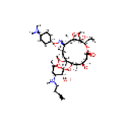 C#CCCN(C)[C@H]1C[C@@H](C)O[C@@H](O[C@@H]2[C@@H](C)C(=O)[C@@H](C)C(=O)O[C@H](CC)[C@](O)(CC)[C@H](O)[C@@H](C)/C(=N/O[C@H]3CC[C@@H](N(C)C)CC3)[C@H](C)C[C@@]2(C)OC)[C@@H]1O